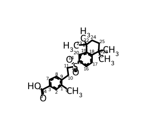 Cc1cc(C(=O)O)ccc1CCS(=O)(=O)c1ccc2c(c1)C(C)(C)CCC2(C)C